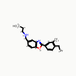 CC(C)Cc1ccc(-c2nc3cc(CNCCC(=O)O)ccc3o2)cc1C(F)(F)F